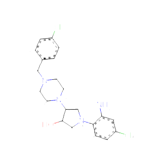 Nc1cc(Cl)ccc1N1CC(O)C(N2CCN(Cc3ccc(Cl)cc3)CC2)C1